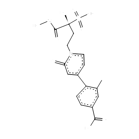 CC(=O)c1ccc(-c2ccn(CC[C@](C)(C(=O)NO)S(C)(=O)=O)c(=O)c2)c(F)c1